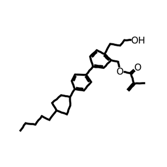 C=C(C)C(=O)OCc1cc(-c2ccc(C3CCC(CCCCC)CC3)cc2)ccc1CCCO